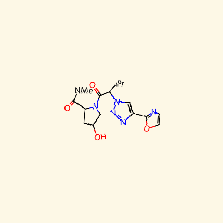 CNC(=O)C1CC(O)CN1C(=O)[C@@H](C(C)C)n1cc(-c2ncco2)nn1